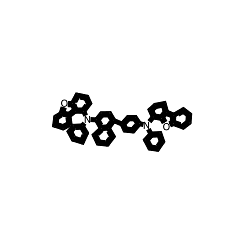 c1ccc(N(c2ccc(-c3ccc(N(c4ccccc4)c4cccc5oc6ccccc6c45)c4ccccc34)cc2)c2cccc3c2oc2ccccc23)cc1